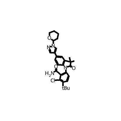 CC(C)(C)c1ccc(N2C(=O)C(C)(C)c3cc(-c4cnn(C5CCCCO5)c4)ccc32)c(C(N)=O)c1Cl